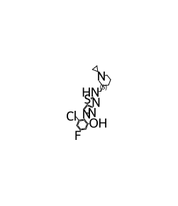 Oc1cc(F)cc(Cl)c1-n1cc2sc(NC[C@@H]3CCCN(C4CC4)C3)nc2n1